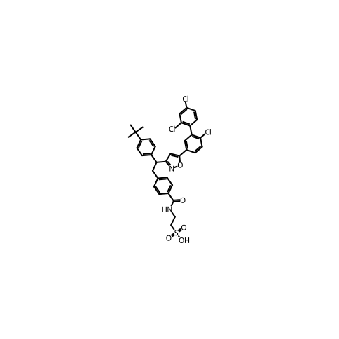 CC(C)(C)c1ccc(C(Cc2ccc(C(=O)NCCS(=O)(=O)O)cc2)c2cc(-c3ccc(Cl)c(-c4ccc(Cl)cc4Cl)c3)on2)cc1